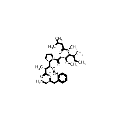 CC[C@H](C)[C@@H]([C@@H](CC(=O)N1CCC[C@H]1[C@H](OC)[C@@H](C)C(=O)N[C@H](CN)Cc1ccccc1)OC)N(C)C(=O)CC(C)C